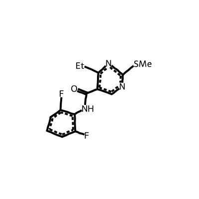 CCc1nc(SC)ncc1C(=O)Nc1c(F)cccc1F